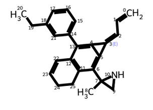 C=C/C=C1\c2c1c(C1(C)CN1)c1c(c2-c2cccc(CC)c2)C=CCC1